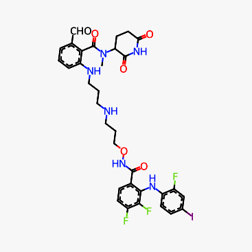 CN(C(=O)c1c(C=O)cccc1NCCCNCCCONC(=O)c1ccc(F)c(F)c1Nc1ccc(I)cc1F)C1CCC(=O)NC1=O